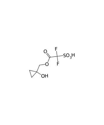 O=C(OCC1(O)CC1)C(F)(F)S(=O)(=O)O